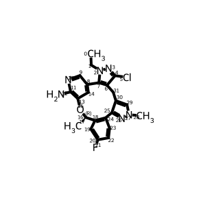 CCn1nc(Cl)c2c1-c1cnc(N)c(c1)O[C@H](C)c1cc(F)ccc1-c1nn(C)cc1C2